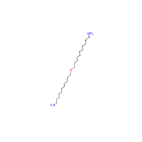 NCCCCCCCCCCCOCCCCCCCCCCCN